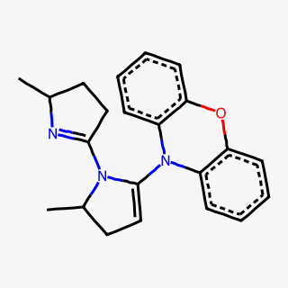 CC1CCC(N2C(N3c4ccccc4Oc4ccccc43)=CCC2C)=N1